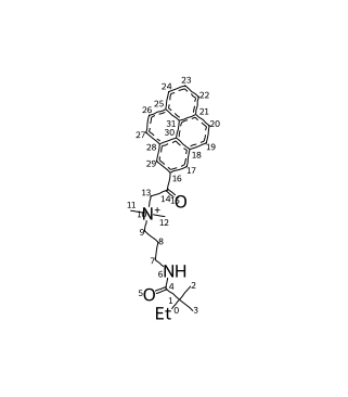 CCC(C)(C)C(=O)NCCC[N+](C)(C)CC(=O)c1cc2ccc3cccc4ccc(c1)c2c34